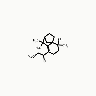 CCC(COC)C1=C2C(C)(C)C3CCC2(C3)C(C)(C)CC1